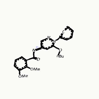 CCCCOc1c/c(=N\C(=O)c2cccc(OC)c2OC)cnn1-c1ccccc1